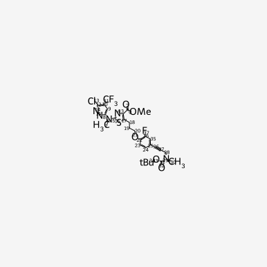 COC(=O)c1nc(N(C)c2cc(C(F)(F)F)c(Cl)nn2)sc1CCCOc1ccc(C#CCN(C)C(=O)OC(C)(C)C)cc1F